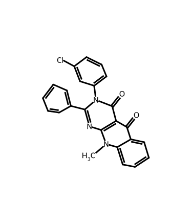 Cn1c2ccccc2c(=O)c2c(=O)n(-c3cccc(Cl)c3)c(-c3ccccc3)nc21